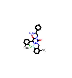 COc1cccc(-c2nn(Cc3c(F)cccc3C(F)(F)F)c(=O)n(CC(N)c3ccccc3)c2=O)c1Cl